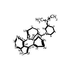 CN(C)C1CCCN(CC2CCCN(c3ncnc4scc(-c5ccccc5)c34)C2)C1